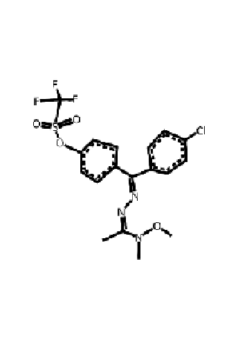 CON(C)C(C)=NN=C(c1ccc(Cl)cc1)c1ccc(OS(=O)(=O)C(F)(F)F)cc1